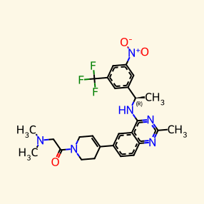 Cc1nc(N[C@H](C)c2cc([N+](=O)[O-])cc(C(F)(F)F)c2)c2cc(C3=CCN(C(=O)CN(C)C)CC3)ccc2n1